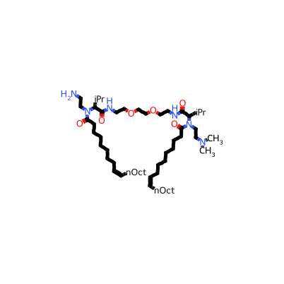 CCCCCCCC/C=C\CCCCCCCC(=O)N(CCN)C(C(=O)NCCOCCOCCNC(=O)C(C(C)C)N(CCN(C)C)C(=O)CCCCCCC/C=C\CCCCCCCC)C(C)C